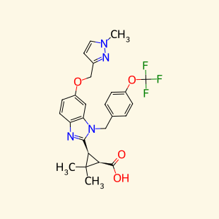 Cn1ccc(COc2ccc3nc([C@H]4[C@@H](C(=O)O)C4(C)C)n(Cc4ccc(OC(F)(F)F)cc4)c3c2)n1